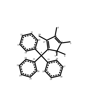 CC1=C(C)C(C)(C)C(C(c2ccccc2)(c2ccccc2)c2ccccc2)=C1C